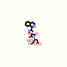 CC1N([C@@H]2CC(=O)O[C@@]2(O)CF)C(=O)[C@@]12CC(c1nccc3ccccc13)=NO2